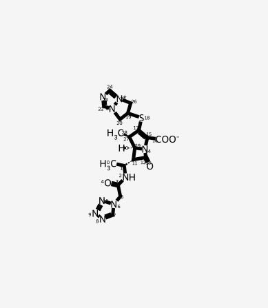 CC(NC(=O)Cn1cnnn1)[C@H]1C(=O)N2C(C(=O)[O-])=C(SC3Cn4cnc[n+]4C3)[C@H](C)[C@H]12